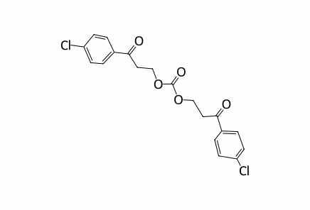 O=C(OCCC(=O)c1ccc(Cl)cc1)OCCC(=O)c1ccc(Cl)cc1